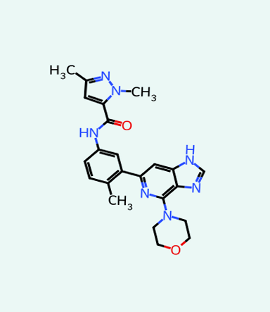 Cc1cc(C(=O)Nc2ccc(C)c(-c3cc4[nH]cnc4c(N4CCOCC4)n3)c2)n(C)n1